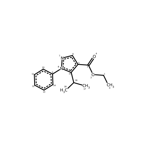 CCOC(=O)c1cnn(-c2ccccc2)c1C(C)C